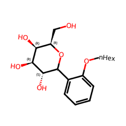 CCCCCCOc1ccccc1[C]1O[C@H](CO)[C@H](O)[C@H](O)[C@H]1O